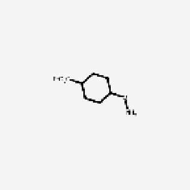 CCOC(=O)C1CCC(ON)CC1